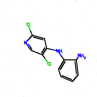 Nc1ccccc1Nc1cc(Cl)ncc1Cl